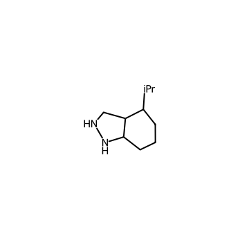 CC(C)C1CCCC2NNCC21